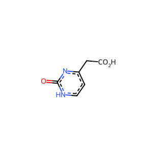 O=C(O)Cc1cc[nH]c(=O)n1